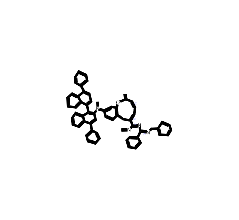 C=NC(=N\C(=N/Cc1ccccc1)c1ccccc1)/C1=C/C=C\C(=C)Oc2cc(N(C)c3cc(-c4ccccc4)c4ccccc4c3-c3ccc(-c4ccccc4)c4ccccc34)ccc2C1